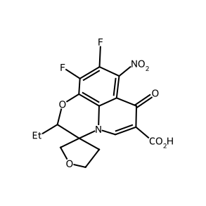 CCC1Oc2c(F)c(F)c([N+](=O)[O-])c3c(=O)c(C(=O)O)cn(c23)C12CCOC2